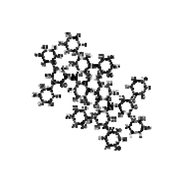 c1ccc(-c2cc(-c3ccccc3)cc(N(c3cc(-c4ccccc4)cc(-c4ccccc4)c3)c3ccc4ccc5c(N(c6cc(-c7ccccc7)cc(-c7ccccc7)c6)c6cc(-c7ccccc7)cc(-c7ccccc7)c6)ccc6ccc3c4c65)c2)cc1